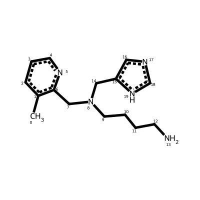 Cc1cccnc1CN(CCCCN)Cc1cnc[nH]1